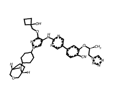 C[C@@H](Cn1cnnn1)Oc1cc(-c2cnc(Nc3cn(C4CCC(N5[C@@H]6CC[C@H]5COC6)CC4)nc3OCC3(O)CCC3)nc2)ccc1C#N